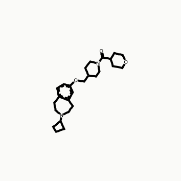 O=C(C1CCOCC1)N1CCC(COc2ccc3c(c2)CCN(C2CCC2)CC3)CC1